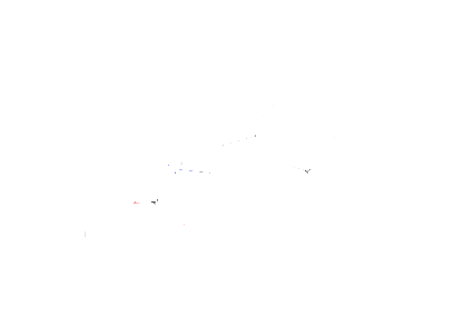 CC(C)(C)OC(=O)NCCC(OC(=O)OCCl)C(C)(C)C